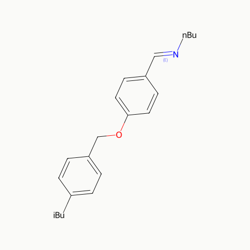 CCCC/N=C/c1ccc(OCc2ccc(C(C)CC)cc2)cc1